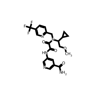 COCC(C1CC1)N(Cc1ccc(C(F)(F)F)cn1)C(=O)C(=O)Nc1cncc(C(N)=O)c1